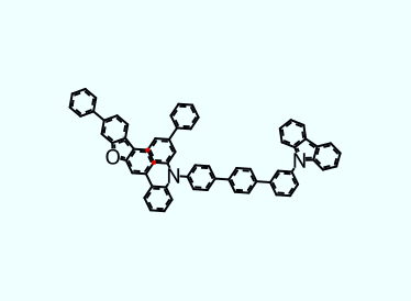 c1ccc(-c2cccc(N(c3ccc(-c4ccc(-c5cccc(-n6c7ccccc7c7ccccc76)c5)cc4)cc3)c3ccccc3-c3ccc4c(c3)oc3cc(-c5ccccc5)ccc34)c2)cc1